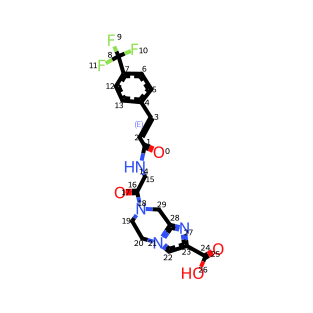 O=C(/C=C/c1ccc(C(F)(F)F)cc1)NCC(=O)N1CCn2cc(C(=O)O)nc2C1